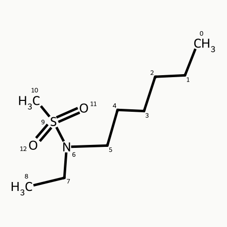 CCCCCCN(CC)S(C)(=O)=O